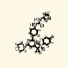 O=C(Nc1ccc(-c2nc(N3CCOCC3)cc(C3(S(=O)(=O)c4ccc(F)cc4)CC3)n2)cc1)Nc1ncns1